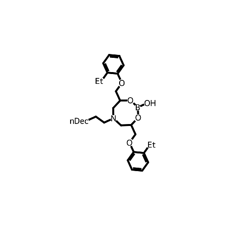 CCCCCCCCCCCCN1CC(COc2ccccc2CC)OB(O)OC(COc2ccccc2CC)C1